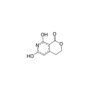 O=C1OCCc2cc(O)nc(O)c21